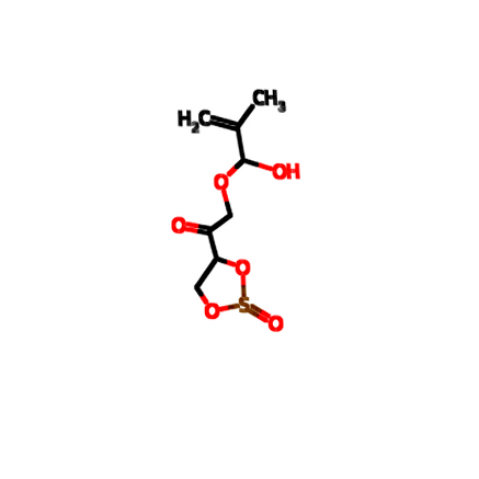 C=C(C)C(O)OCC(=O)C1COS(=O)O1